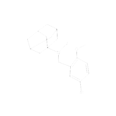 COc1ccc(Br)cc1CN(I)C12CC3CC(CC(C3)C1)C2